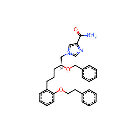 NC(=O)c1cn(C[C@H](CCCc2ccccc2OCCc2ccccc2)OCc2ccccc2)cn1